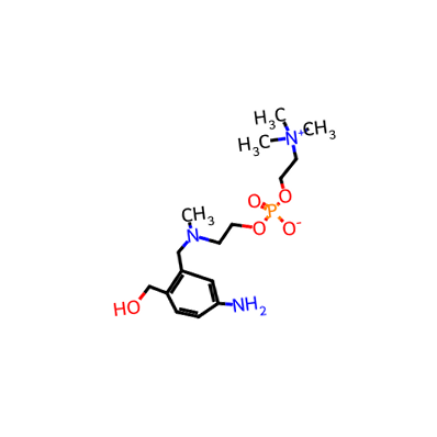 CN(CCOP(=O)([O-])OCC[N+](C)(C)C)Cc1cc(N)ccc1CO